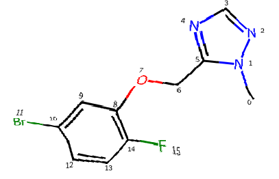 Cn1ncnc1COc1cc(Br)ccc1F